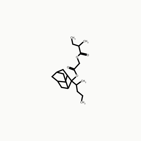 CCCC(C)C1(OC(=O)COC(=O)C(C)CC)C2CC3CC(C2)CC1C3